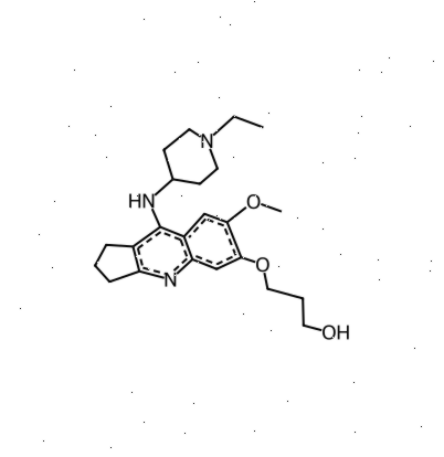 CCN1CCC(Nc2c3c(nc4cc(OCCCO)c(OC)cc24)CCC3)CC1